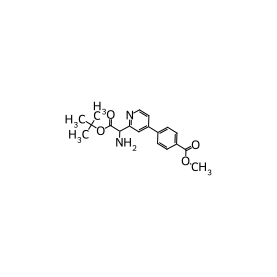 COC(=O)c1ccc(-c2ccnc(C(N)C(=O)OC(C)(C)C)c2)cc1